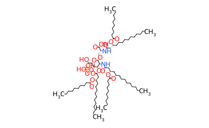 CCCCCCCCCCC[C@H](CC(=O)NC1C(OC(=O)C[C@@H](CCCCCCCCCCC)OC(=O)CCCCCCCCC)[C@H](OP(=O)(O)O)C(CO)O[C@H]1OC[C@@H](NC(=O)C[C@@H](CCCCCCCCCCC)OC(=O)CCCCCCCCC)C(=O)O)OC(=O)CCCCCCCCC